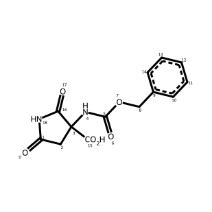 O=C1CC(NC(=O)OCc2ccccc2)(C(=O)O)C(=O)N1